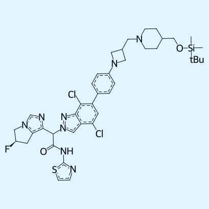 CC(C)(C)[Si](C)(C)OCC1CCN(CC2CN(c3ccc(-c4cc(Cl)c5cn(C(C(=O)Nc6nccs6)c6ncn7c6C[C@@H](F)C7)nc5c4Cl)cc3)C2)CC1